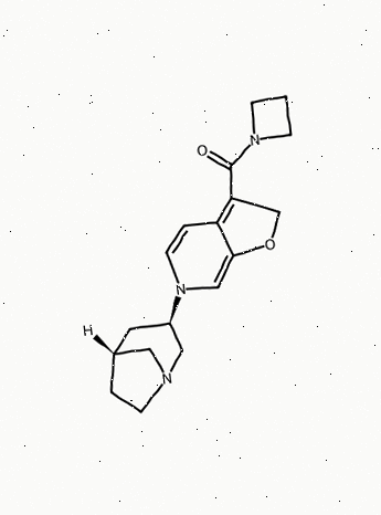 O=C(C1=C2C=CN([C@@H]3C[C@H]4CCN(C4)C3)C=C2OC1)N1CCC1